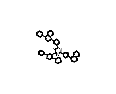 c1ccc(-c2ccc(-c3ccccc3)c(-c3nc(-c4ccc(-c5cccc6ccccc56)cc4)nc(-c4cccc(-c5ccc(-c6ccccc6)c6ccccc56)c4)n3)c2)cc1